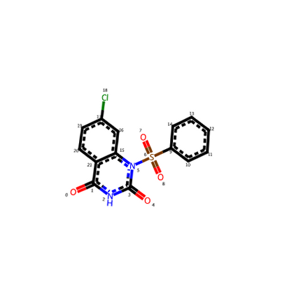 O=c1[nH]c(=O)n(S(=O)(=O)c2ccccc2)c2cc(Cl)ccc12